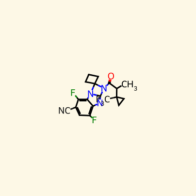 CC(C(=O)N1c2nc3c(F)cc(C#N)c(F)c3n2C12CCC2)C1(C(F)(F)F)CC1